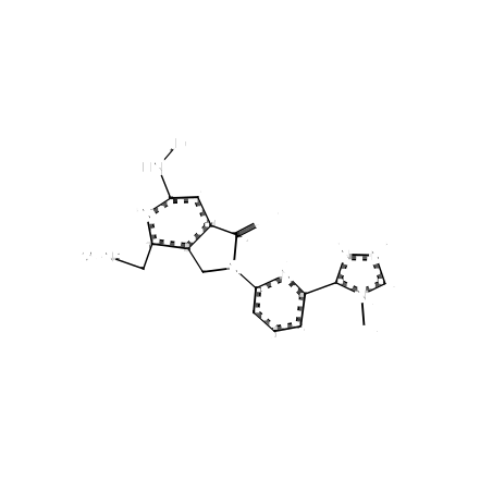 CCNc1cc2c(c(CNC)n1)CN(c1cccc(-c3nncn3C(C)C)n1)C2=O